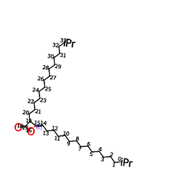 CC(C)CCCCCCCCCCCCC/C=C1\OC(=O)C1CCCCCCCCCCCCCC(C)C